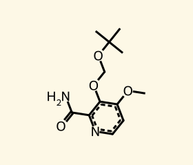 COc1ccnc(C(N)=O)c1OCOC(C)(C)C